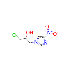 O=[N+]([O-])c1cn(CC(O)CCl)cn1